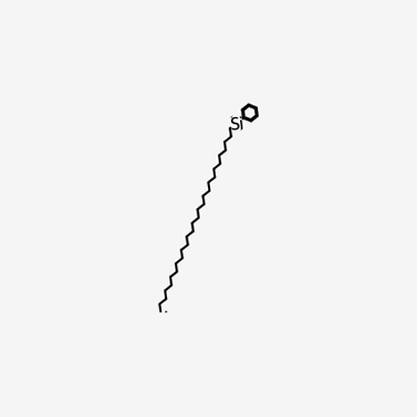 [CH2]CCCCCCCCCCCCCCCCCCCCCCCCCCC[Si](C)(C)c1ccccc1